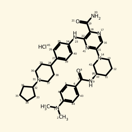 CN(C)c1ccc(C(=O)N[C@@H]2CCCN(c3cnc(C(N)=O)c(Nc4ccc(C5CCN(C6CCCC6)CC5)cc4)n3)C2)cc1.Cl